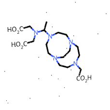 CC(N1CCN2CCN(CCN(CC(=O)O)CC2)CC1)N(CC(=O)O)CC(=O)O